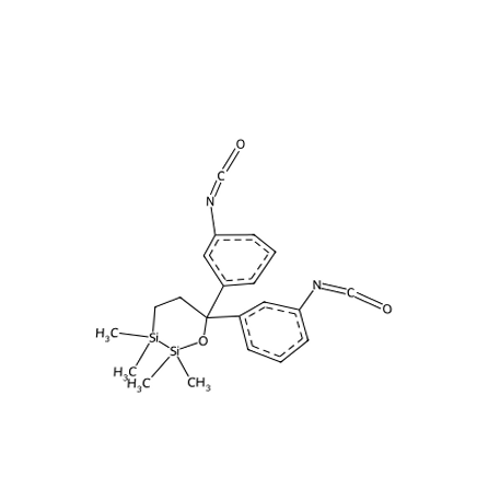 C[Si]1(C)CCC(c2cccc(N=C=O)c2)(c2cccc(N=C=O)c2)O[Si]1(C)C